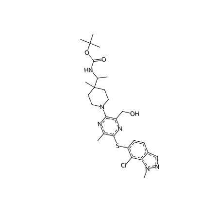 Cc1nc(N2CCC(C)(C(C)NC(=O)OC(C)(C)C)CC2)c(CO)nc1Sc1ccc2cnn(C)c2c1Cl